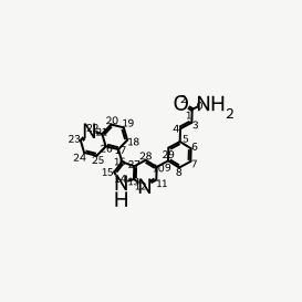 NC(=O)C=Cc1cccc(-c2cnc3[nH]cc(-c4cccc5ncccc45)c3c2)c1